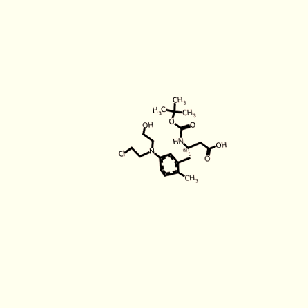 Cc1ccc(N(CCO)CCCl)cc1C[C@@H](CC(=O)O)NC(=O)OC(C)(C)C